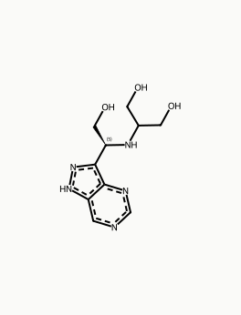 OCC(CO)N[C@H](CO)c1n[nH]c2cncnc12